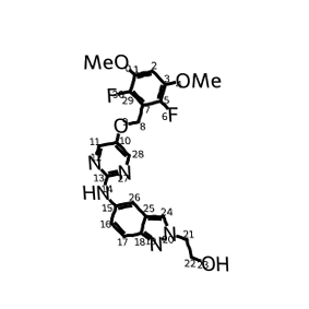 COc1cc(OC)c(F)c(COc2cnc(Nc3ccc4nn(CCO)cc4c3)nc2)c1F